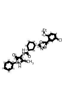 CCOc1ccc(Cl)cc1-c1nnc([C@H]2CCC[C@@H](C(=O)Nc3c(C)[nH]n(-c4ccccc4)c3=O)C2)o1